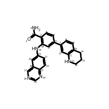 NC(=O)c1ccc(-c2ccc3c(c2)NCCC3)cc1Nc1ccc2ncncc2c1